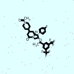 CC(=O)N1CCC(C2CC(=O)N3C[C@H](O[C@H](C)c4cc(C(F)(F)F)cc(C(F)(F)F)c4)[C@@H](c4ccc(F)cc4)[C@@H]3C2)CC1